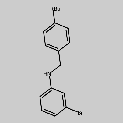 CC(C)(C)c1ccc(CNc2cccc(Br)c2)cc1